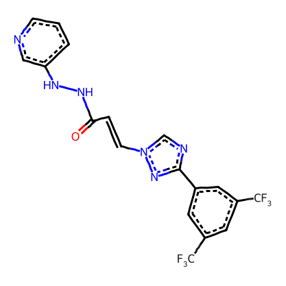 O=C(C=Cn1cnc(-c2cc(C(F)(F)F)cc(C(F)(F)F)c2)n1)NNc1cccnc1